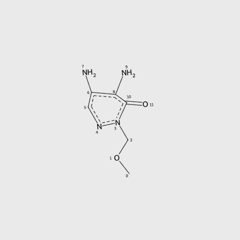 COCn1ncc(N)c(N)c1=O